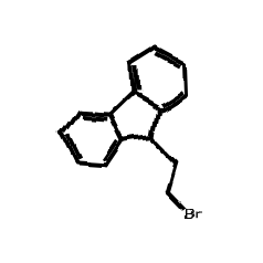 BrCCC1c2ccccc2-c2ccccc21